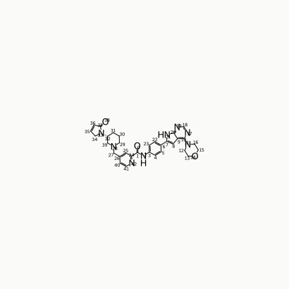 O=C(Nc1ccc(-c2cc3c(N4CCOCC4)ncnc3[nH]2)cc1)c1cc(CN2CCC[C@@H](N3CC=CC3=O)C2)ccn1